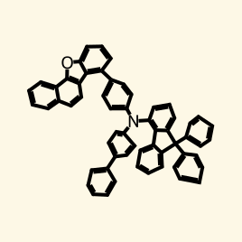 c1ccc(-c2ccc(N(c3ccc(-c4cccc5oc6c7ccccc7ccc6c45)cc3)c3cccc4c3-c3ccccc3C4(c3ccccc3)c3ccccc3)cc2)cc1